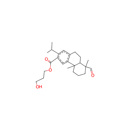 CC(C)c1cc2c(cc1C(=O)OCCCO)C1(C)CCCC(C)(C=O)C1CC2